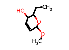 CCC1OC(OC)C=CC1O